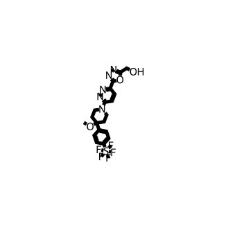 COC1(c2ccc(S(F)(F)(F)(F)F)cc2)CCN(c2ccc(-c3nnc(CO)o3)nn2)CC1